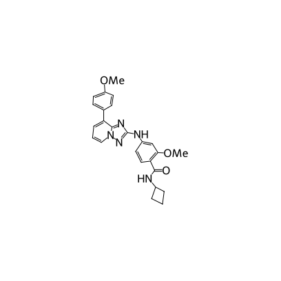 COc1ccc(-c2cccn3nc(Nc4ccc(C(=O)NC5CCC5)c(OC)c4)nc23)cc1